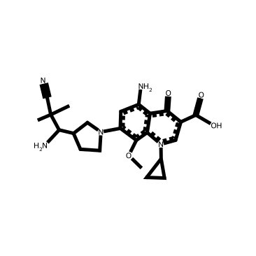 COc1c(N2CCC(C(N)C(C)(C)C#N)C2)cc(N)c2c(=O)c(C(=O)O)cn(C3CC3)c12